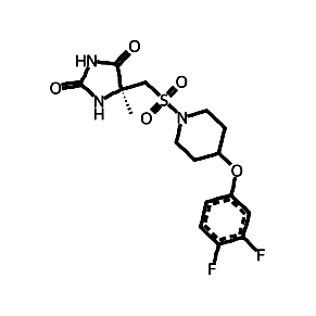 C[C@]1(CS(=O)(=O)N2CCC(Oc3ccc(F)c(F)c3)CC2)NC(=O)NC1=O